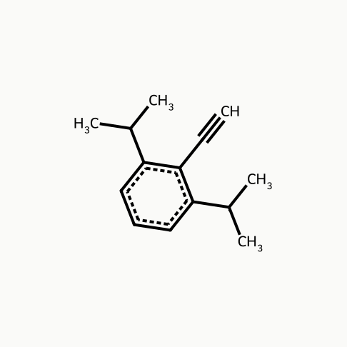 C#Cc1c([C](C)C)cccc1C(C)C